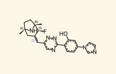 C[C@@]12CC[C@@](C)(N1)[C@@H](F)/C(=C\c1cnc(-c3ccc(-n4ccnc4)cc3O)nn1)C2